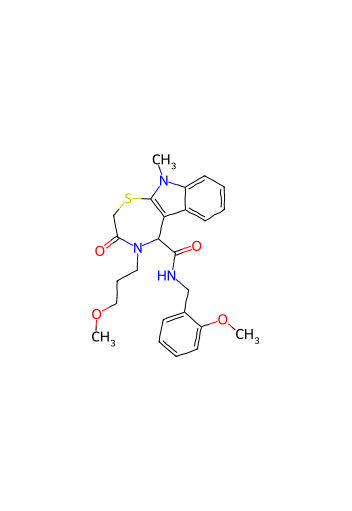 COCCCN1C(=O)CSc2c(c3ccccc3n2C)C1C(=O)NCc1ccccc1OC